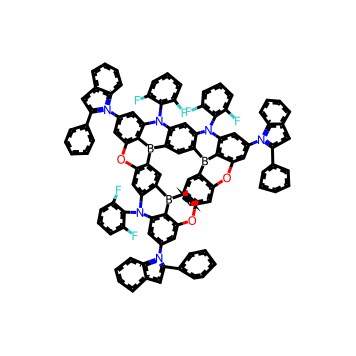 Fc1cccc(F)c1N1c2cc3c(cc2B2c4ccccc4Oc4cc(-n5c(-c6ccccc6)cc6ccccc65)cc1c42)B1c2cc4c(cc2N(c2c(F)cccc2F)c2cc(-n5c(-c6ccccc6)cc6ccccc65)cc(c21)O3)N(c1c(F)cccc1F)c1cc(-n2c(-c3ccccc3)cc3ccccc32)cc2c1B4c1ccccc1O2